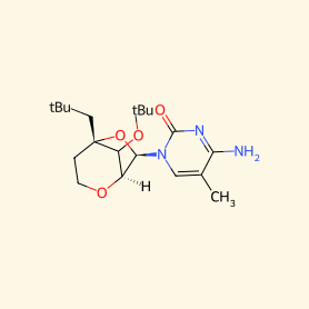 Cc1cn([C@@H]2O[C@@]3(CC(C)(C)C)CCO[C@H]2C3OC(C)(C)C)c(=O)nc1N